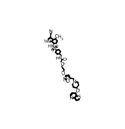 Cc1ccc(NS(=O)(=O)c2ccc(CNC(=O)COCCOc3cc(CN4CCC(Oc5c#cnc6ccsc56)CC4)on3)cc2)c2[nH]cc(C#N)c12